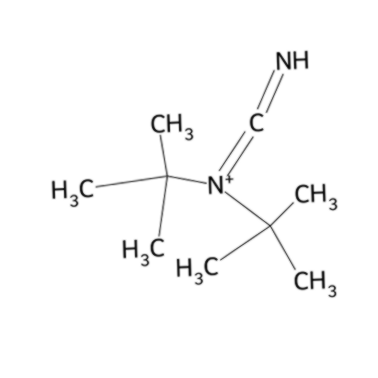 CC(C)(C)[N+](=C=N)C(C)(C)C